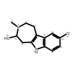 CN1CCc2c([nH]c3ccc(Cl)cc23)CC1O